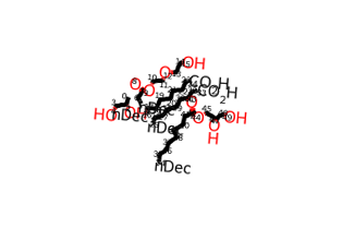 CC(O)CO.CCCCCCCCCCCC(=O)OCCOCCO.CCCCCCCCCCCCCCCCCC(=O)O.CCCCCCCCCCCCCCCCCC(=O)O.CCCCCCCCCCCCCCCCCC(=O)OCC(O)CO